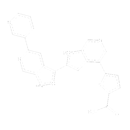 CC(=O)c1ccc(-c2cncc3[nH]c(-c4n[nH]c5cnc(-c6cccnc6)cc45)cc23)s1